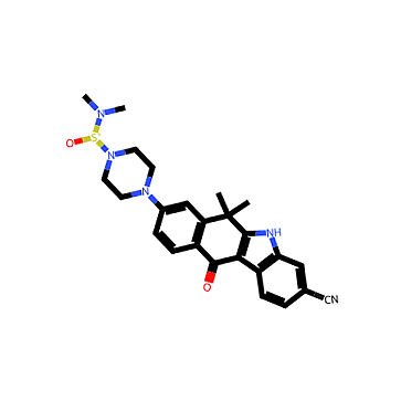 CN(C)[S+]([O-])N1CCN(c2ccc3c(c2)C(C)(C)c2[nH]c4cc(C#N)ccc4c2C3=O)CC1